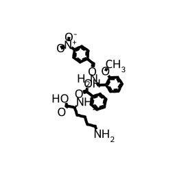 COc1ccccc1CN.NCCCC[C@H](N)C(=O)O.O=C(O)c1ccccc1.O=Cc1ccc([N+](=O)[O-])cc1